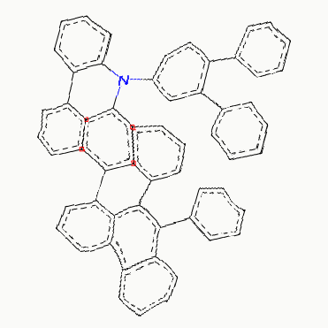 c1ccc(-c2ccc(N(c3ccc(-c4cccc5c4c(-c4ccccc4)c(-c4ccccc4)c4ccccc45)cc3)c3ccccc3-c3ccccc3)cc2-c2ccccc2)cc1